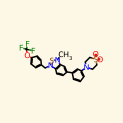 CN1SN(Cc2ccc(OC(F)(F)F)cc2)c2ccc(-c3cccc(N4CCS(=O)(=O)CC4)c3)cc21